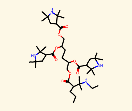 CCCC(C(=O)OCC(CCC(COC(=O)C1CC(C)(C)NC1(C)C)OC(=O)C1CC(C)(C)NC1(C)C)OC(=O)C1CC(C)(C)NC1(C)C)C(C)(C)NCC